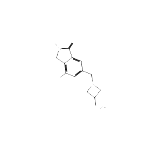 COC1CN(Cc2cc3c(c(C(F)(F)F)c2)CN(C)C3=O)C1